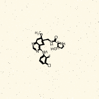 COc1cc2ncnc(Nc3cccc(Cl)c3F)c2cc1CNC(=O)[C@H]1NCC[C@@H]1O